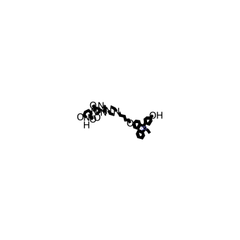 CC/C(=C(\c1ccc(O)cc1)c1ccc(OCCCCCN2CCN(c3cnc4c(n3)C(=O)N(C3CCC(=O)NC3=O)C4=O)CC2)cc1)c1ccccc1